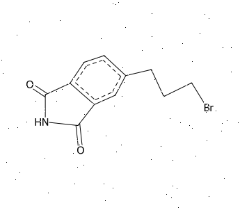 O=C1NC(=O)c2cc(CCCBr)ccc21